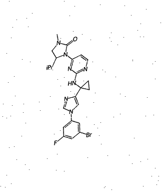 CC(C)C1CN(C)C(=O)N1c1ccnc(NC2(c3cn(-c4cc(F)cc(Br)c4)cn3)CC2)n1